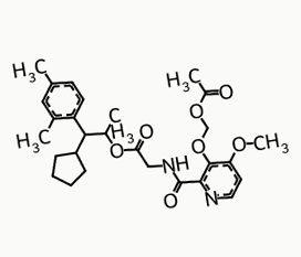 COc1ccnc(C(=O)NCC(=O)OC(C)C(c2ccc(C)cc2C)C2CCCC2)c1OCOC(C)=O